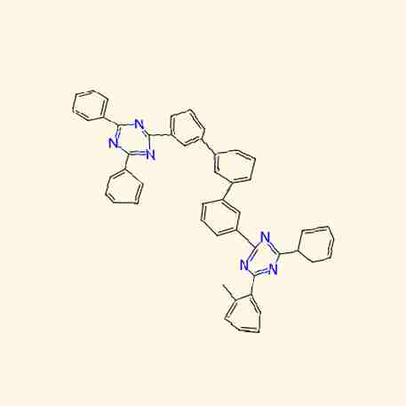 Cc1ccccc1-c1nc(-c2cccc(-c3cccc(-c4cccc(-c5nc(-c6ccccc6)nc(-c6ccccc6)n5)c4)c3)c2)nc(C2C=CC=CC2)n1